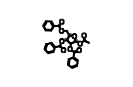 CC(=O)O[C@@H]1O[C@H](COC(=O)c2ccccc2)[C@@H](OC(=O)c2ccccc2)C1OC(=O)c1ccccc1